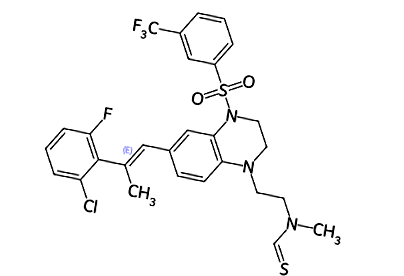 C/C(=C\c1ccc2c(c1)N(S(=O)(=O)c1cccc(C(F)(F)F)c1)CCN2CCN(C)C=S)c1c(F)cccc1Cl